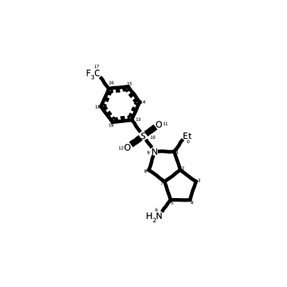 CCC1C2CCC(N)C2CN1S(=O)(=O)c1ccc(C(F)(F)F)cc1